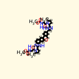 COC(=O)NCC(=O)N1C(c2ncc(-c3ccc4c(c3)COc3cc5c(ccc6nc(C7CC[C@H](C)N7C(=O)CNC(=O)OC)[nH]c65)cc3-4)[nH]2)CC[C@@H]1C